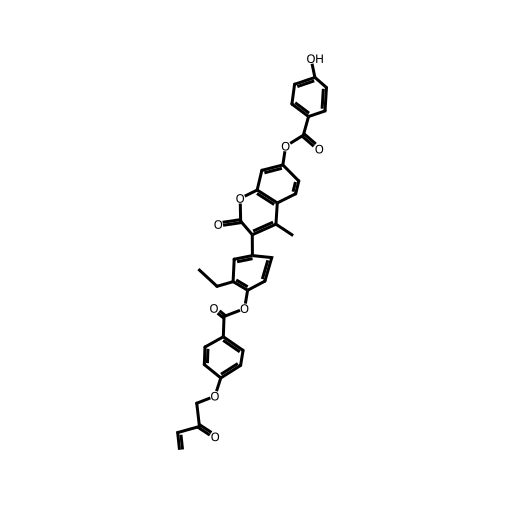 C=CC(=O)COc1ccc(C(=O)Oc2ccc(-c3c(C)c4ccc(OC(=O)c5ccc(O)cc5)cc4oc3=O)cc2CC)cc1